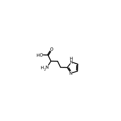 NC(CCc1ncc[nH]1)C(=O)O